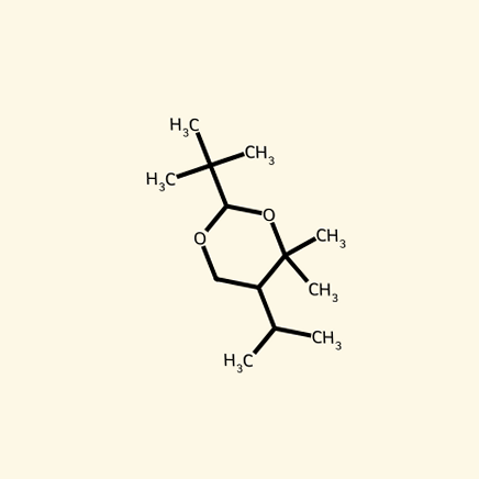 CC(C)C1COC(C(C)(C)C)OC1(C)C